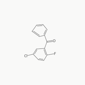 O=C(c1ccccc1)c1cc(Cl)ccc1F